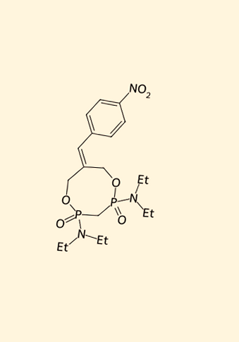 CCN(CC)P1(=O)CP(=O)(N(CC)CC)OCC(=Cc2ccc([N+](=O)[O-])cc2)CO1